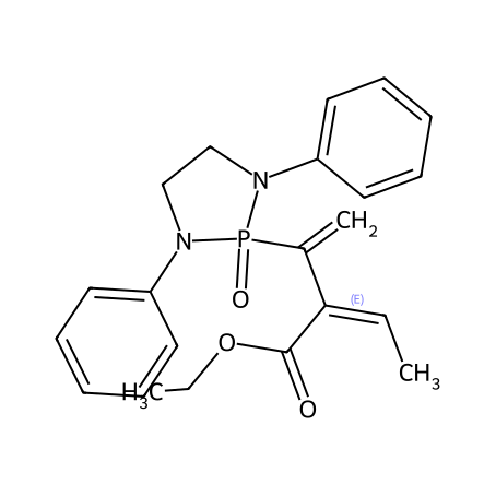 C=C(/C(=C/C)C(=O)OCC)P1(=O)N(c2ccccc2)CCN1c1ccccc1